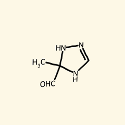 CC1(C=O)NC=NN1